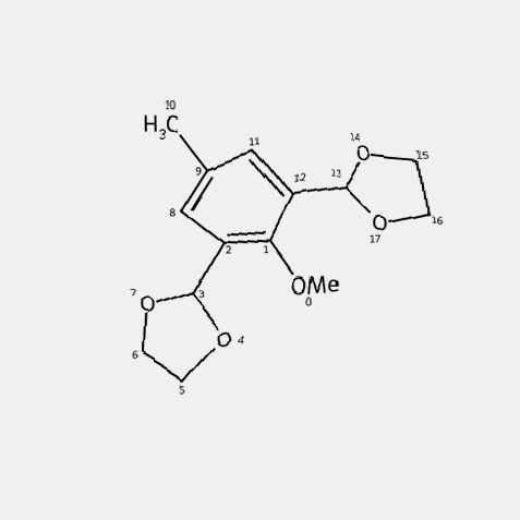 COc1c(C2OCCO2)cc(C)cc1C1OCCO1